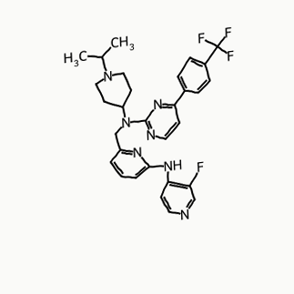 CC(C)N1CCC(N(Cc2cccc(Nc3ccncc3F)n2)c2nccc(-c3ccc(C(F)(F)F)cc3)n2)CC1